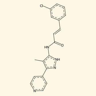 Cc1c(-c2ccncc2)n[nH]c1NC(=O)C=Cc1cccc(Cl)c1